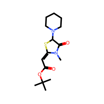 CN1C(=O)C(N2CCCCC2)S/C1=C/C(=O)OC(C)(C)C